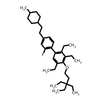 CCc1cc(-c2ccc(CCC3CCC(C)CC3)cc2F)c(CC)c(CC)c1OCCC(CC)(CC)CC